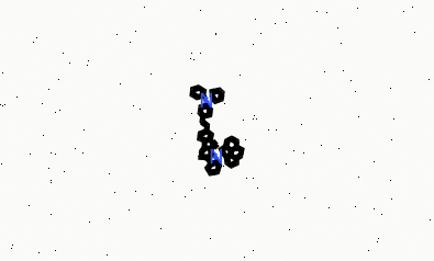 CC1(C)c2cc(/C=C/c3ccc(N(c4ccccc4)c4ccccc4)cc3)ccc2-c2ccc3c4ccccc4n(-c4cc5cccc6ccc7cccc4c7c65)c3c21